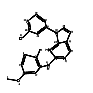 COc1ccc(C)c(Nc2ncc3ccn(-c4ccnc(Cl)c4)c3n2)c1